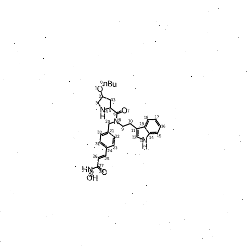 CCCCOC1CNC(C(=O)N(CCc2c[nH]c3ccccc23)Cc2ccc(/C=C/C(=O)NO)cc2)C1